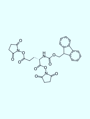 O=C(CC[C@H](NC(=O)OCC1c2ccccc2-c2ccccc21)C(=O)ON1C(=O)CCC1=O)ON1C(=O)CCC1=O